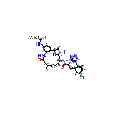 COC(=O)Nc1ccc2c(c1)NC(=O)CC(C)CCC[C@H](NC(=O)/C=C/c1cc(Cl)ccc1-n1cnnn1)c1nc-2c[nH]1